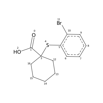 O=C(O)C1(Sc2ccccc2Br)CCCCC1